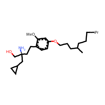 COc1cc(OCCCC(C)CCCC(C)C)ccc1CC[C@@](N)(CO)CC1CC1